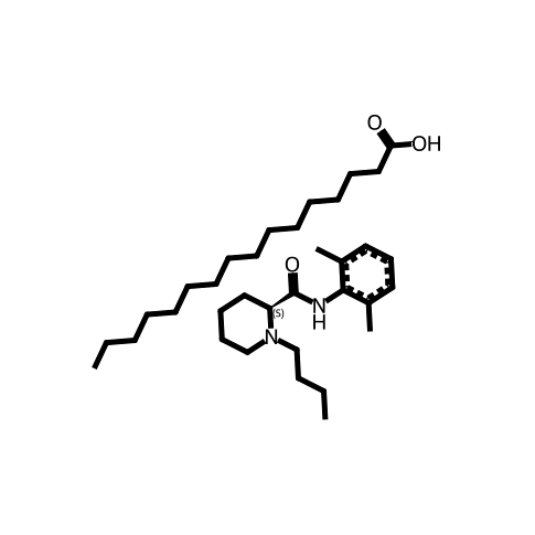 CCCCCCCCCCCCCCCC(=O)O.CCCCN1CCCC[C@H]1C(=O)Nc1c(C)cccc1C